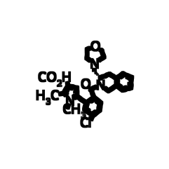 Cc1c(C(=O)O)cc(-c2cc(Cl)ccc2C(=O)N2Cc3ccccc3C[C@H]2CN2CCOCC2)n1C